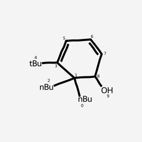 CCCCC1(CCCC)C(C(C)(C)C)=CC=CC1O